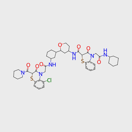 O=C(CN1C(=O)C(C(=O)NC2CCOC(C3CCCC(NC(=O)CN4C(=O)C(C(=O)N5CCCCC5)Sc5cccc(Cl)c54)C3)C2)Sc2ccccc21)NC1CCCCC1